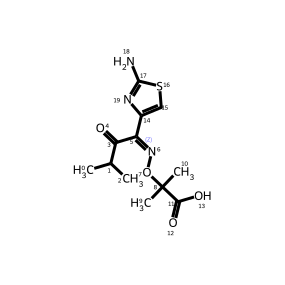 CC(C)C(=O)/C(=N\OC(C)(C)C(=O)O)c1csc(N)n1